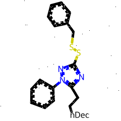 CCCCCCCCCCCCc1nc(SSCc2ccccc2)nn1-c1ccccc1